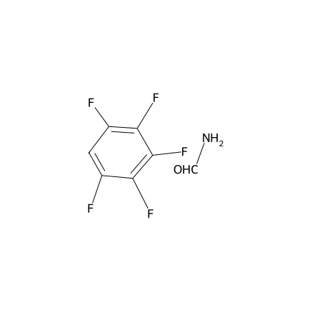 Fc1cc(F)c(F)c(F)c1F.NC=O